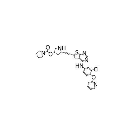 O=C(OC1CNC(C#Cc2cc3c(Nc4ccc(Oc5ccccn5)c(Cl)c4)ncnc3s2)C1)N1CCCC1